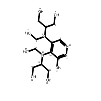 OCC(CO)N(CO)c1cnnc(O)c1N(CO)C(CO)CO